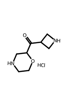 Cl.O=C(C1CNC1)C1CNCCO1